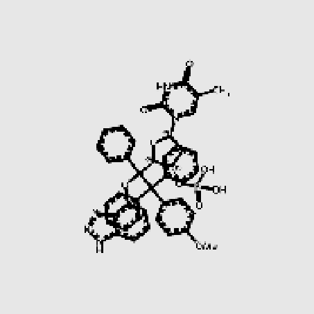 COc1ccc(C(c2ccccc2)(c2ccccc2)C(Oc2cccc3[nH]nnc23)(c2ccccc2)[C@H]2O[C@@H](n3cc(C)c(=O)[nH]c3=O)C[C@@H]2OP(=O)(O)O)cc1